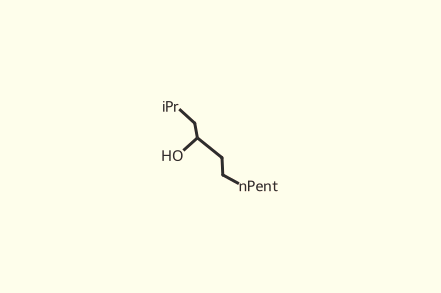 CCCCCCCC(O)CC(C)C